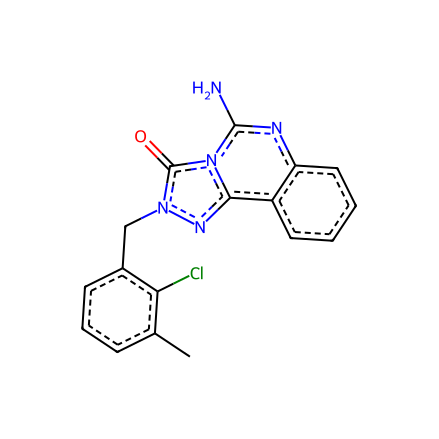 Cc1cccc(Cn2nc3c4ccccc4nc(N)n3c2=O)c1Cl